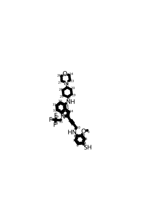 COc1cc(S)ccc1NCC#Cc1cc2c(N[C@H]3CC[C@@H](N4CCOCC4)CC3)cccc2n1CC(F)(F)F